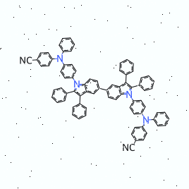 N#Cc1ccc(N(c2ccccc2)c2ccc(-n3c(-c4ccccc4)c(-c4ccccc4)c4cc(-c5ccc6c(c5)c(-c5ccccc5)c(-c5ccccc5)n6-c5ccc(N(c6ccccc6)c6ccc(C#N)cc6)cc5)ccc43)cc2)cc1